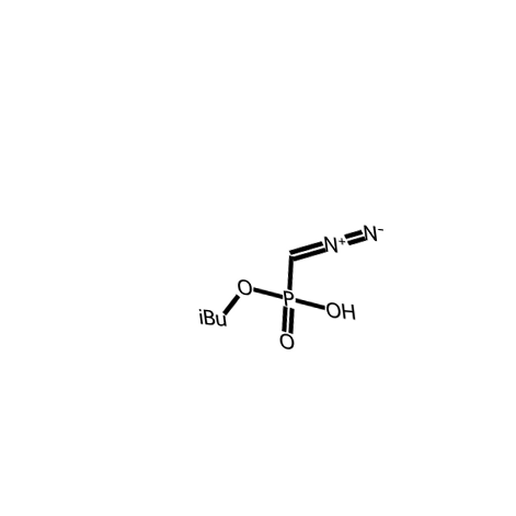 CCC(C)OP(=O)(O)C=[N+]=[N-]